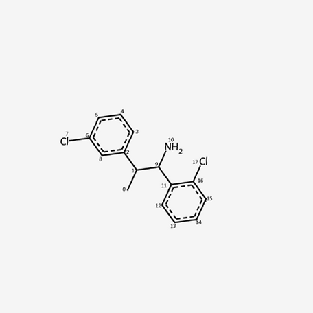 CC(c1cccc(Cl)c1)C(N)c1ccc[c]c1Cl